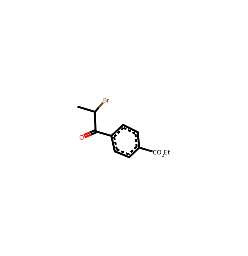 CCOC(=O)c1ccc(C(=O)C(C)Br)cc1